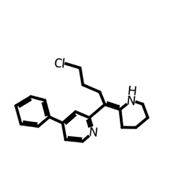 ClCCCC(=C1CCCCN1)c1cc(-c2ccccc2)ccn1